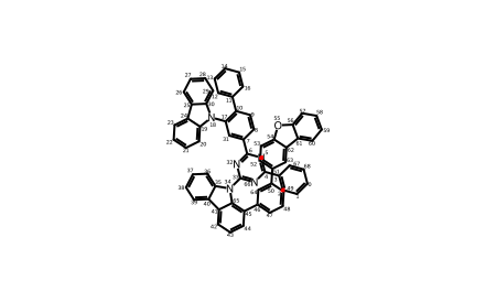 c1ccc(-c2nc(-c3ccc(-c4ccccc4)c(-n4c5ccccc5c5ccccc54)c3)nc(-n3c4ccccc4c4cccc(-c5cccc(-c6ccc7oc8ccccc8c7c6)c5)c43)n2)cc1